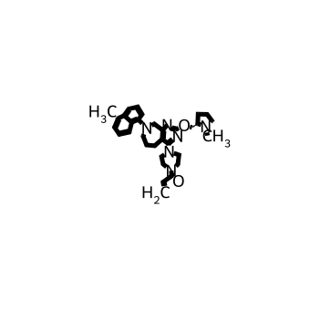 C=CC(=O)N1CCN(c2nc(OC[C@@H]3CCCN3C)nc3c2CCCN(c2cccc4c(C)cccc24)C3)CC1